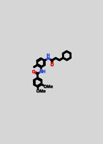 COc1ccc(C(=O)Nc2cc(NC(=O)CCC3CCCCC3)ccc2C)cc1OC